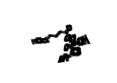 CCCCCCCCCCCC(=O)OOP(=O)(O)OCCC